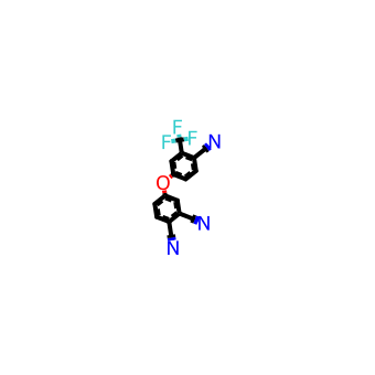 N#Cc1ccc(Oc2ccc(C#N)c(C(F)(F)F)c2)cc1C#N